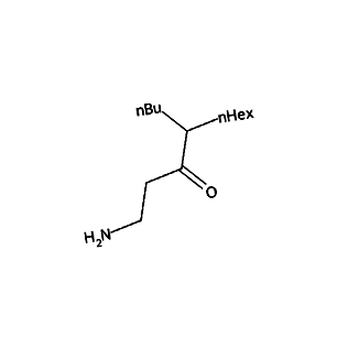 CCCCCCC(CCCC)C(=O)CCN